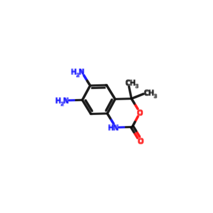 CC1(C)OC(=O)Nc2cc(N)c(N)cc21